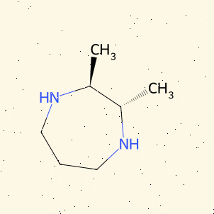 C[C@@H]1NCCCN[C@H]1C